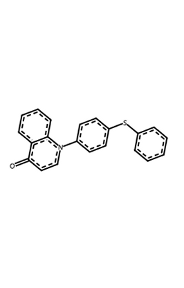 O=c1ccn(-c2ccc(Sc3ccccc3)cc2)c2ccccc12